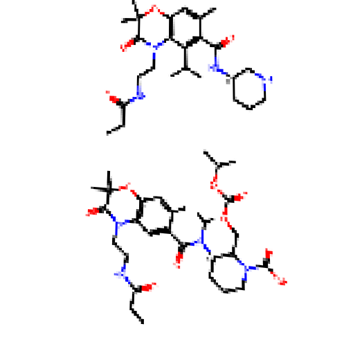 CCC(=O)NCCN1C(=O)C(C)(C)Oc2cc(C)c(C(=O)N(C(C)C)[C@@H]3CCCN(C(=O)O)C3COC(=O)OC(C)C)cc21.CCC(=O)NCCN1C(=O)C(C)(C)Oc2cc(C)c(C(=O)N[C@@H]3CCCNC3)c(C(C)C)c21